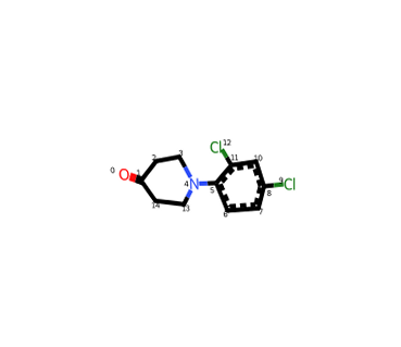 O=C1CCN(c2ccc(Cl)cc2Cl)CC1